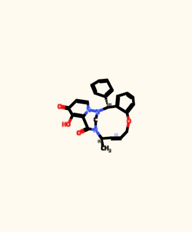 C[C@@H]1/C=C/COc2ccccc2[C@@H](c2ccccc2)N2CN1C(=O)c1c(O)c(=O)ccn12